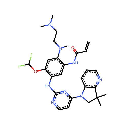 C=CC(=O)Nc1cc(Nc2nccc(N3CC(C)(C)c4ncccc43)n2)c(OC(F)F)cc1N(C)CCN(C)C